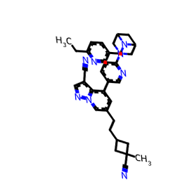 CCc1ccc(CN2C3CC2CN(c2ccc(-c4cc(CCC5CC(C)(C#N)C5)cn5ncc(C#N)c45)cn2)C3)cn1